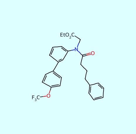 CCOC(=O)CN(C(=O)CCCc1ccccc1)c1cccc(-c2ccc(OC(F)(F)F)cc2)c1